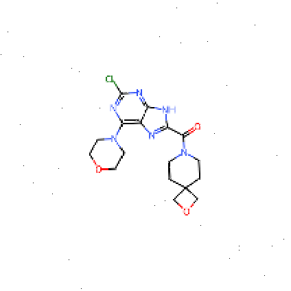 O=C(c1nc2c(N3CCOCC3)nc(Cl)nc2[nH]1)N1CCC2(CC1)COC2